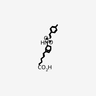 Cc1ccc(/C=C/S(=O)(=O)NC2CC3CC(/C=C/CCCC(=O)O)C2C3)cc1